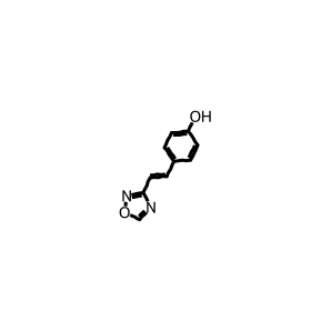 Oc1ccc(/C=C/c2ncon2)cc1